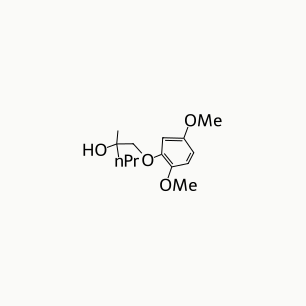 CCCC(C)(O)COc1cc(OC)ccc1OC